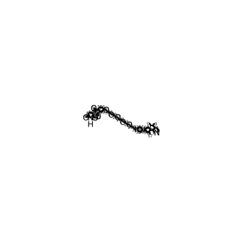 CCC(C)c1ccncc1-c1ccc(N2CCN(CCCOCCOCCOCCOCCOc3ccc4c(c3)C(=O)N(C3CCC(=O)NC3=O)C4=O)CC2)cc1C